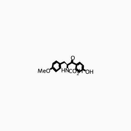 COc1ccc(C[C@H](NC(=O)O)C(=O)c2ccc(O)cc2)cc1